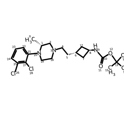 C[C@@H]1CN(CC[C@H]2C[C@H](NC(=O)OC(C)(C)C)C2)CCN1c1cccc(Cl)c1Cl